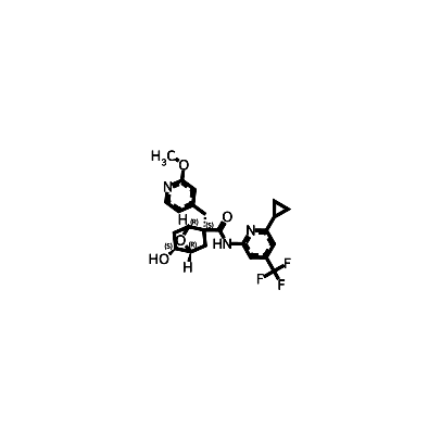 COc1cc(C[C@]2(C(=O)Nc3cc(C(F)(F)F)cc(C4CC4)n3)C[C@H]3O[C@@H]2C[C@@H]3O)ccn1